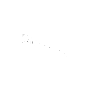 CCCCCCCCCCCCCCCCCCCC(N)(CO)CO